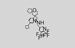 FC(F)(F)c1cc(CNCCC2(c3ccc(C4CCC4)cn3)CCOC3(CCCC3)C2)cnc1C(F)(F)F